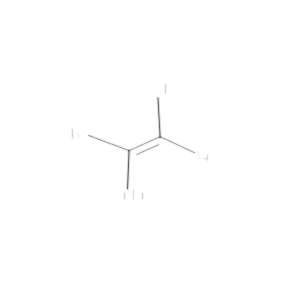 CCCC(Br)=C(O)Br